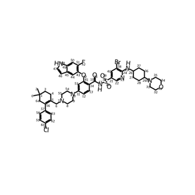 CC1(C)CCC(CN2CCN(c3ccc(C(=O)NS(=O)(=O)c4cnc(NC5CCC(N6CCOCC6)CC5)c(Br)c4)c(Oc4cc5cc[nH]c5cc4F)c3)CC2)=C(c2ccc(Cl)cc2)C1